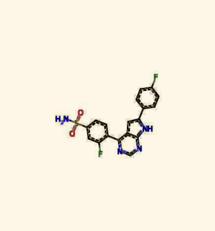 NS(=O)(=O)c1ccc(-c2ncnc3[nH]c(-c4ccc(F)cc4)cc23)c(F)c1